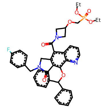 CCOP(=O)(COC1CN(C(=O)c2c3c(c(OC(c4ccccc4)c4ccccc4)c4ncccc24)C(=O)N(Cc2ccc(F)cc2)C3)C1)OCC